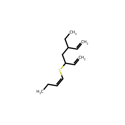 C=CC(CC)CC(C=C)S/C=C\CC